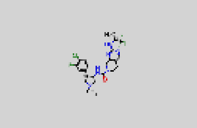 C[C@H](Nc1ncc2c(n1)CN(C(=O)NC1CN(C)C[C@H]1c1ccc(Cl)c(F)c1)CC2)C(F)(F)F